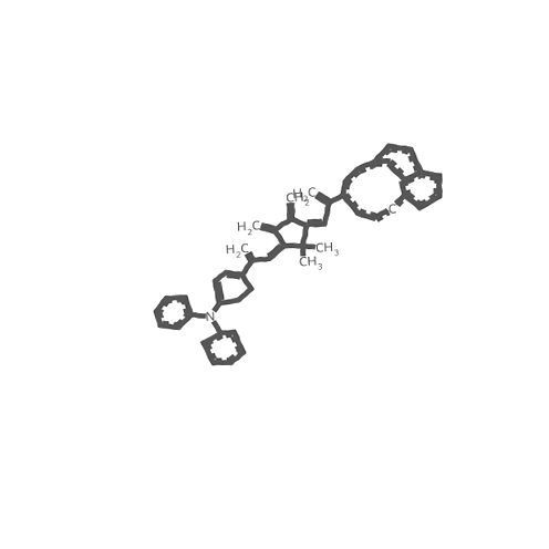 C=C(/C=C1\C(=C)C(=C)/C(=C\C(=C)c2cccc3cccc4ccc(cc2)cc34)C1(C)C)C1=CC=C(N(c2ccccc2)c2ccccc2)CC1